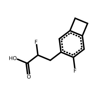 O=C(O)C(F)Cc1cc2c(cc1F)CC2